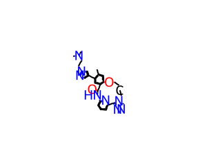 Cc1cc2c(cc1-c1cnn(CCN(C)C)c1)C(=O)Nc1cccc(n1)-c1nncn1CCCCO2